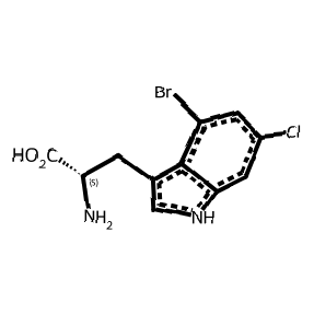 N[C@@H](Cc1c[nH]c2cc(Cl)cc(Br)c12)C(=O)O